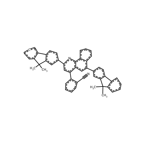 CC1(C)c2ccccc2-c2ccc(-c3cc(-c4ccccc4C#N)c4cc(-c5ccc6c(c5)C(C)(C)c5ccccc5-6)c5ccccc5c4n3)cc21